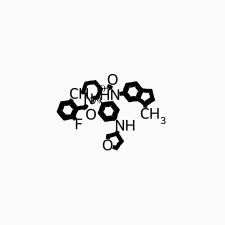 CC1=CCc2ccc(NC(=O)[C@H]3CCCN(C(=O)c4c(C)cccc4F)[C@H]3c3ccc(NC4CCOC4)cc3)cc21